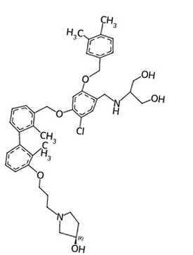 Cc1ccc(COc2cc(OCc3cccc(-c4cccc(OCCCN5CC[C@@H](O)C5)c4C)c3C)c(Cl)cc2CNC(CO)CO)cc1C